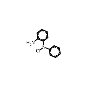 Nc1ccccc1N(Cl)c1ccccc1